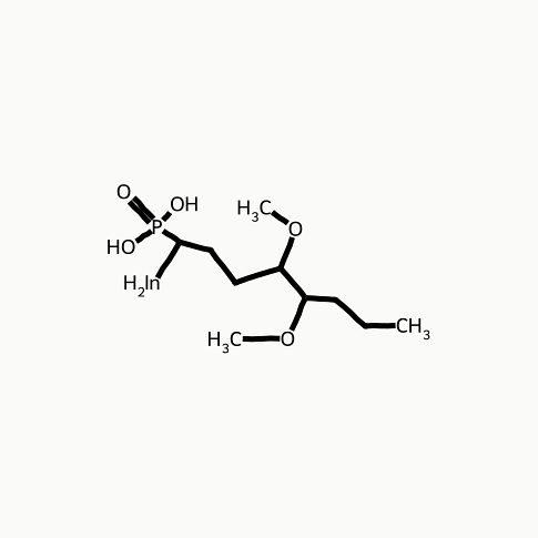 CCCC(OC)C(CC[CH]([InH2])P(=O)(O)O)OC